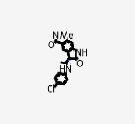 CNC(=O)c1ccc2c(c1)/C(=C(\C)Nc1ccc(Cl)cc1)C(=O)N2